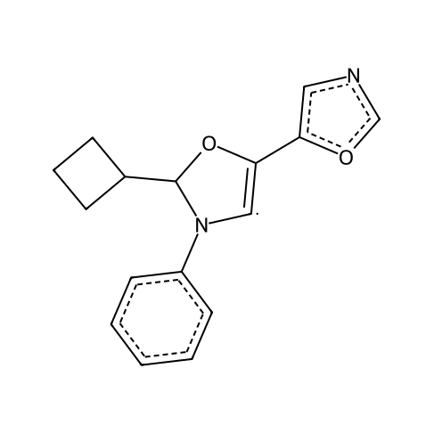 [C]1=C(c2cnco2)OC(C2CCC2)N1c1ccccc1